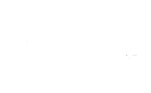 CCCCCC[CH]C1CC1